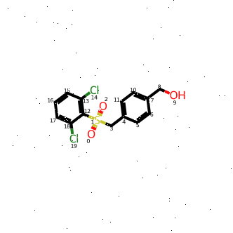 O=S(=O)(Cc1ccc(CO)cc1)c1c(Cl)cccc1Cl